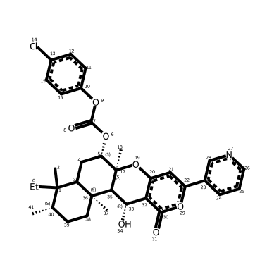 CCC1(C)C2C[C@H](OC(=O)Oc3ccc(Cl)cc3)[C@@]3(C)Oc4cc(-c5cccnc5)oc(=O)c4[C@H](O)C3[C@@]2(C)CC[C@@H]1C